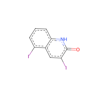 O=c1[nH]c2cccc(I)c2cc1I